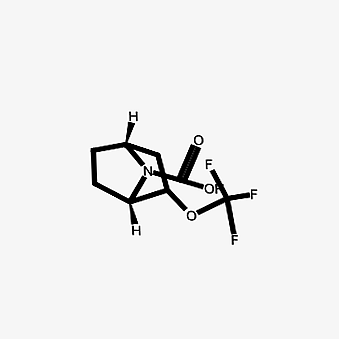 O=C(O)N1[C@@H]2CC[C@H]1C(OC(F)(F)F)C2